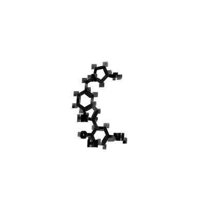 Nc1c[nH]c(=O)c(-c2cc3cc(CN4CC[C@@H](F)C4)ccc3[nH]2)c1